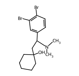 CN(C)C(CC1(O)CCCCC1)c1ccc(Br)c(Br)c1